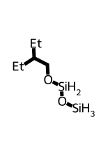 CCC(CC)CO[SiH2]O[SiH3]